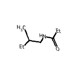 [CH2]CC(=O)NCC(C)CC